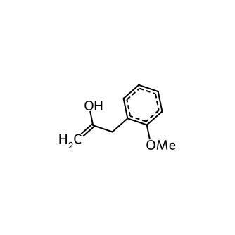 C=C(O)Cc1ccccc1OC